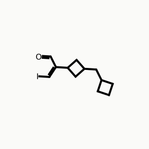 O=CC(=CI)C1CC(CC2CCC2)C1